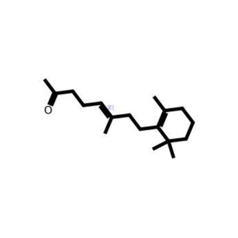 CC(=O)CC/C=C(\C)CCC1=C(C)CCCC1(C)C